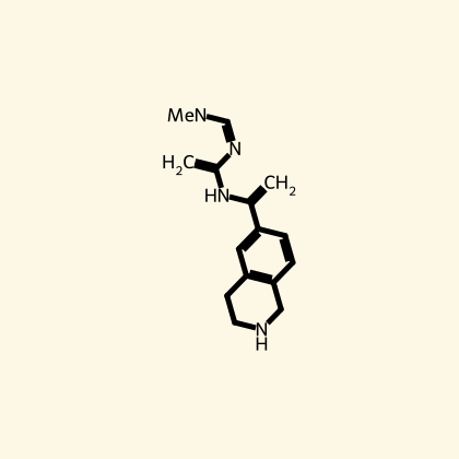 C=C(/N=C\NC)NC(=C)c1ccc2c(c1)CCNC2